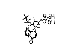 C[C@H]1C(O[Si](C)(C)C(C)(C)C)[C@H](n2ccc(=O)n3ccnc23)O[C@@H]1COP(=O)(O)S